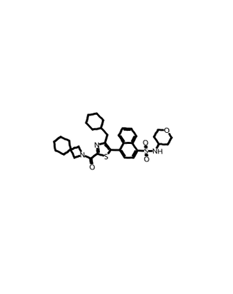 O=C(c1nc(CC2CCCCC2)c(-c2ccc(S(=O)(=O)NC3CCOCC3)c3ccccc23)s1)N1CC2(CCCCC2)C1